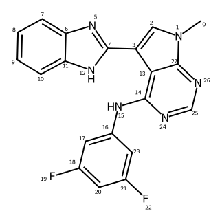 Cn1cc(-c2nc3ccccc3[nH]2)c2c(Nc3cc(F)cc(F)c3)ncnc21